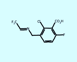 O=C(O)c1c(F)ccc(C/N=C/C(F)(F)F)c1Cl